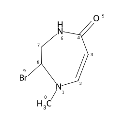 CN1C=CC(=O)NCC1Br